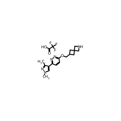 Cc1nn(C)cc1-c1ccc(OCC2CC3(CNC3)C2)nn1.O=C(O)C(F)(F)F